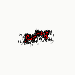 CCC(C)[C@H]1O[C@]2(C=C[C@@H]1C)C[C@@H]1C[C@@H](C/C=C(\C)[C@@H](O[C@H]3C[C@H](OC)[C@@H](O[C@H]4C[C@H](OC)[C@H](NC(=O)OCOC(=O)N[C@@H]5[C@H](C)O[C@@H](O[C@H]6[C@H](C)O[C@@H](O[C@@H]7/C(C)=C/C[C@@H]8C[C@@H](C[C@]9(C=C[C@H](C)[C@@H](C(C)CC)O9)O8)OC(=O)[C@@H]8C=C(C)[C@@H](O)[C@H]9OC/C(=C\C=C\[C@@H]7C)[C@]98O)C[C@@H]6OC)C[C@@H]5OC)[C@H](C)O4)[C@H](C)O3)[C@@H](C)/C=C/C=C3\CO[C@@H]4[C@H](O)C(C)=C[C@@H](C(=O)O1)[C@]34O)O2